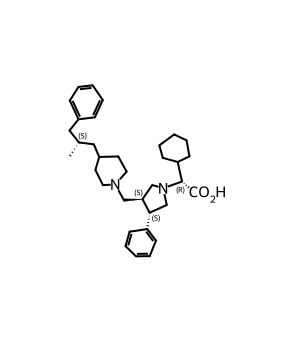 C[C@H](Cc1ccccc1)CC1CCN(C[C@H]2CN([C@@H](C(=O)O)C3CCCCC3)C[C@@H]2c2ccccc2)CC1